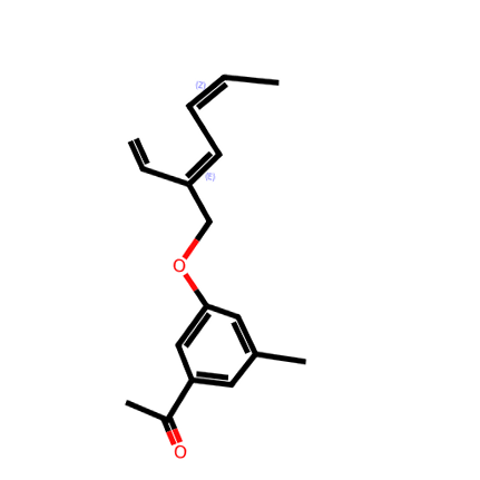 C=C/C(=C\C=C/C)COc1cc(C)cc(C(C)=O)c1